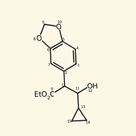 CCOC(=O)C(c1ccc2c(c1)OCO2)C(O)C1CC1